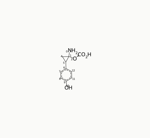 NC1(OC(=O)O)CC1c1ccc(O)cc1